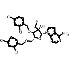 Nc1ncnc2c1ccn2[C@@H]1O[C@H](COCc2ccc(Cl)cc2Cl)[C@@H](OCc2ccc(Cl)cc2Cl)[C@]1(O)CF